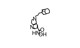 O=C(NO)c1cnc2c(c1)CN(CCCC1CC3CCCC(C1)C3F)CC2